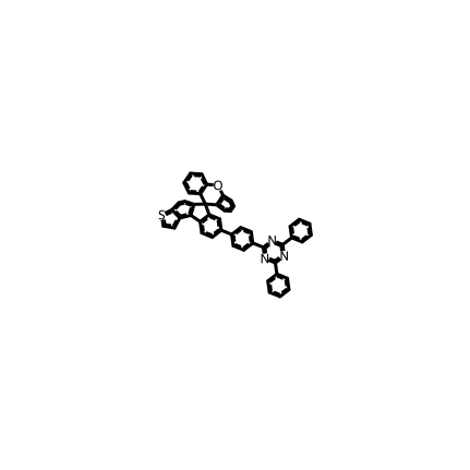 c1ccc(-c2nc(-c3ccccc3)nc(-c3ccc(-c4ccc5c(c4)C4(c6ccccc6Oc6ccccc64)c4ccc6sccc6c4-5)cc3)n2)cc1